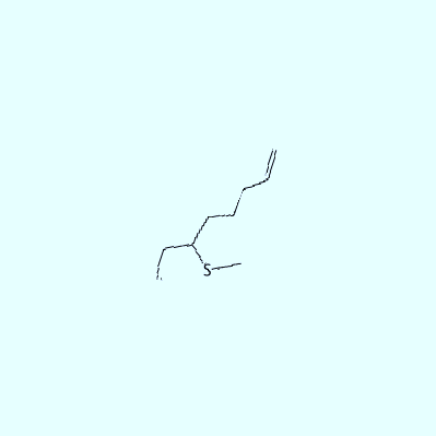 [CH2]CC(CCCC=C)SC